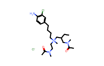 CCC(CN(C)C(C)=O)C[N+](C)(CCCCc1ccc(N)c(Cl)c1)CCN(C)C(C)=O.[Cl-]